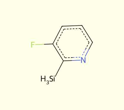 Fc1cccnc1[SiH3]